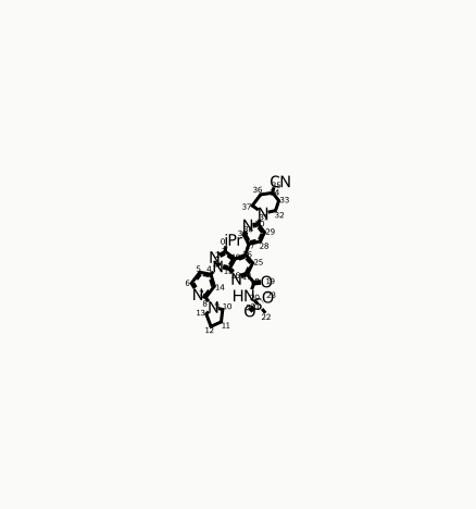 CC(C)c1nn(-c2ccnc(N3CCCC3)c2)c2nc(C(=O)NS(C)(=O)=O)cc(-c3ccc(N4CCC(C#N)CC4)nc3)c12